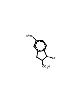 COc1ccc2c(c1)C[C@H](C(=O)O)[C@@H]2O